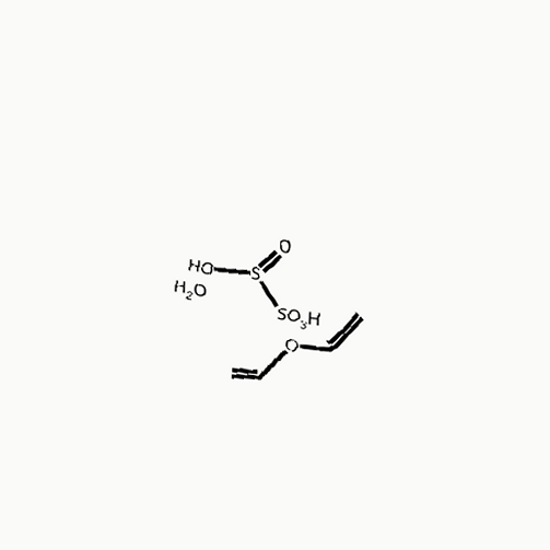 C=COC=C.O.O=S(O)S(=O)(=O)O